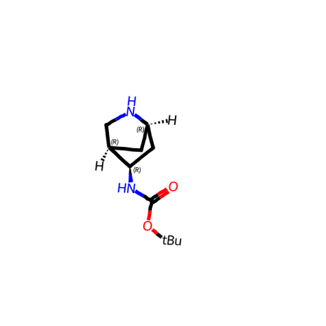 CC(C)(C)OC(=O)N[C@@H]1C[C@H]2C[C@@H]1CN2